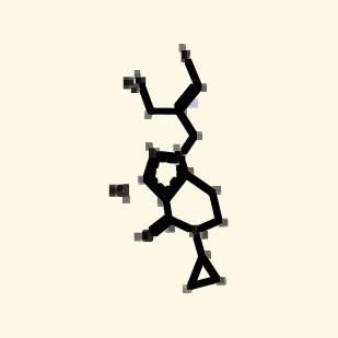 Cl.NC/C(=C\F)Cn1ncc2c1CCN(C1CC1)C2=O